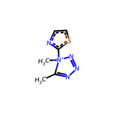 CC1=NN=N[N+]1(C)c1nccs1